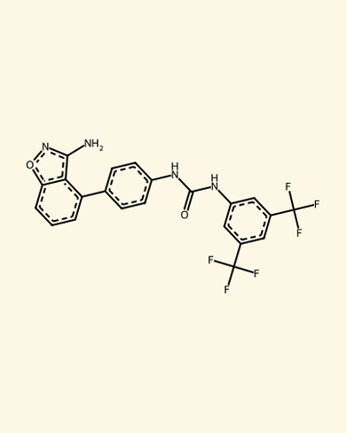 Nc1noc2cccc(-c3ccc(NC(=O)Nc4cc(C(F)(F)F)cc(C(F)(F)F)c4)cc3)c12